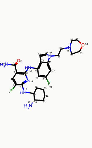 NC(=O)c1cc(F)c(NC2CCCC[C@@H]2N)nc1Nc1cc(F)cc2c1ccn2CCN1CCOCC1